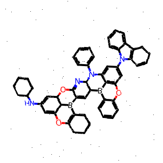 C1=Cc2c(c3ccccc3n2-c2cc3c4c(c2)N(c2ccccc2)C2N=C5OC6C=C(NC7CCCCC7)C=C7OC8=C(CCCC8)B(C5=CC2B4c2ccccc2O3)C76)CC1